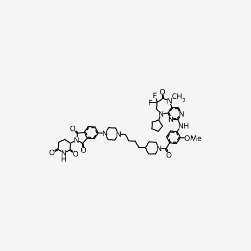 COc1cc(C(=O)N2CCC(CCCCN3CCN(c4ccc5c(c4)C(=O)N(C4CCC(=O)NC4=O)C5=O)CC3)CC2)ccc1Nc1ncc2c(n1)N(C1CCCC1)CC(F)(F)C(=O)N2C